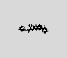 CC(Cc1cc2cc(-c3ncccc3Cl)ccc2nc1N)C(=O)NC[C@@H]1CCCCO1